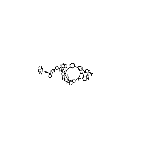 CCn1c(-c2cccnc2C(C)C)c2c3cc(ccc31)-c1cccc(c1)C[C@H](NC(=O)[C@@H](COC1CN(C(=O)C#C[C@H]3COCCN3C)C1)C(C)C)C(=O)N1CCC[C@H](N1)C(=O)OCC(C)(C)C2